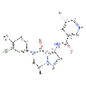 C[C@H]1CN(c2ccc(C(F)(F)F)c(Cl)c2)C(=O)c2c(NC(=O)c3cncc(F)c3)cnn21